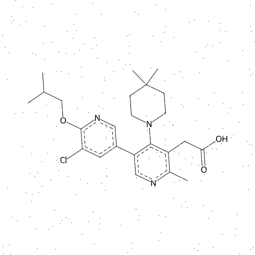 Cc1ncc(-c2cnc(OCC(C)C)c(Cl)c2)c(N2CCC(C)(C)CC2)c1CC(=O)O